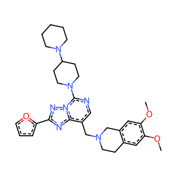 COc1cc2c(cc1OC)CN(Cc1cnc(N3CCC(N4CCCCC4)CC3)n3nc(-c4ccco4)nc13)CC2